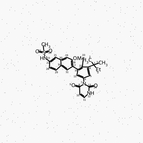 CCC(C)(C)c1cc(-n2c(=O)cc[nH]c2=O)cc(-c2ccc3cc(NS(C)(=O)=O)ccc3c2)c1OC